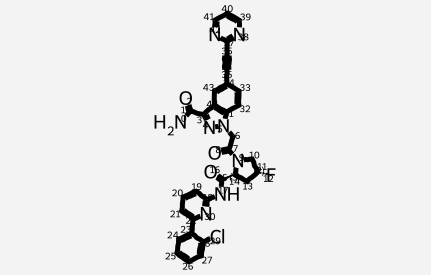 NC(=O)c1nn(CC(=O)N2C[C@H](F)C[C@H]2C(=O)Nc2cccc(-c3ccccc3Cl)n2)c2ccc(C#Cc3ncccn3)cc12